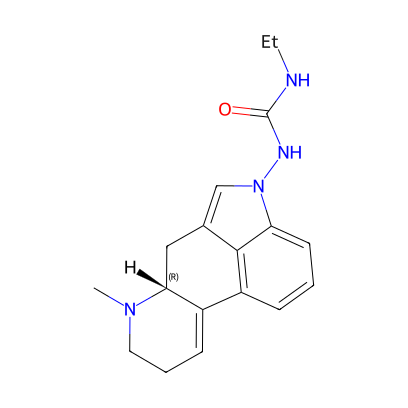 CCNC(=O)Nn1cc2c3c(cccc31)C1=CCCN(C)[C@@H]1C2